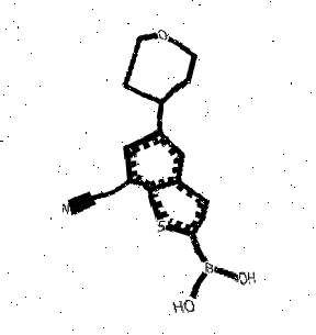 N#Cc1cc(C2CCOCC2)cc2cc(B(O)O)sc12